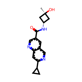 C[C@]1(O)C[C@H](NC(=O)c2cnc3cc(C4CC4)ncc3c2)C1